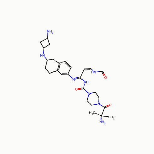 CC(C)(N)C(=O)N1CCN(C(=O)NC(/C=C\NC=O)=N/c2ccc3c(c2)CCC(NC2CC(N)C2)C3)CC1